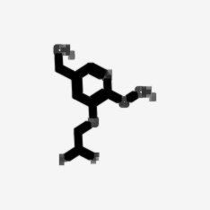 CCc1cnc(OC)c(OCC(F)F)c1